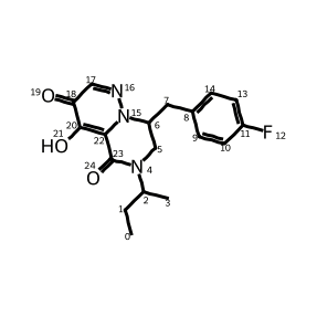 CCC(C)N1CC(Cc2ccc(F)cc2)n2ncc(=O)c(O)c2C1=O